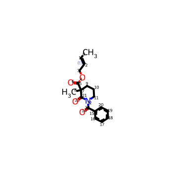 C/C=C/COC(=O)C1(C)CCCN(C(=O)c2ccccc2)C1=O